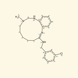 CN1CCCCC/C(NCc2cccc(Cl)c2)=N\c2ccccc2NC1